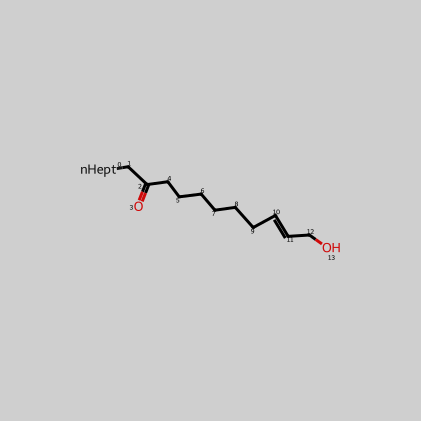 CCCCCCCCC(=O)CCCCCCC=CCO